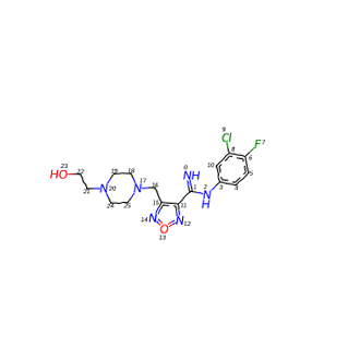 N=C(Nc1ccc(F)c(Cl)c1)c1nonc1CN1CCN(CCO)CC1